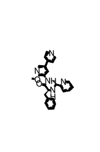 COc1ncc(-c2ccncc2)cc1NC(=O)[C@H](Cc1ccccc1)N[C@@H](C)c1ccccn1